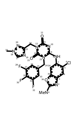 CNc1nc2cc(Cl)c(Nc3nc(=O)n(Cc4ncn(C)n4)c(=O)n3Cc3cc(F)c(F)c(F)c3)cc2o1